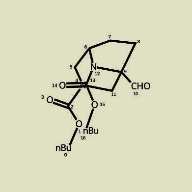 CCCCOC(=O)N1CC2CCC(C=O)(C1)N2C(=O)OCCCC